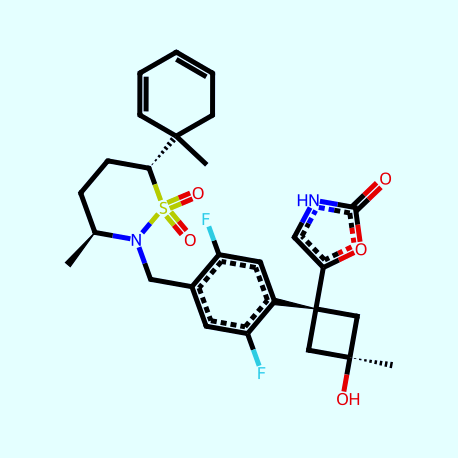 C[C@H]1CC[C@H](C2(C)C=CC=CC2)S(=O)(=O)N1Cc1cc(F)c([C@]2(c3c[nH]c(=O)o3)C[C@](C)(O)C2)cc1F